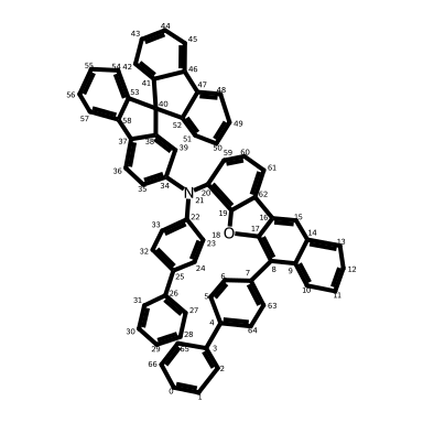 c1ccc(-c2ccc(-c3c4ccccc4cc4c3oc3c(N(c5ccc(-c6ccccc6)cc5)c5ccc6c(c5)C5(c7ccccc7-c7ccccc75)c5ccccc5-6)cccc34)cc2)cc1